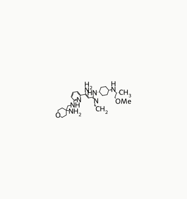 C=C/N=C(\C=C(/N)c1cccc(NCC2(N)CCOCC2)n1)N[C@H]1CC[C@H](N[C@H](C)COC)CC1